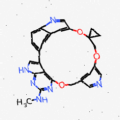 CNc1nc2c3c(c[nH]c3n1)-c1ccc3ncc(cc3c1)OC1(CC1)COc1cncc(c1)CO2